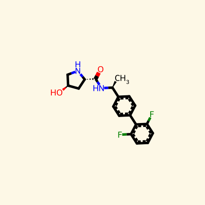 C[C@H](NC(=O)[C@@H]1C[C@@H](O)CN1)c1ccc(-c2c(F)cccc2F)cc1